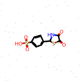 O=C1NC(c2ccc(S(=O)(=O)O)cc2)SC1=O